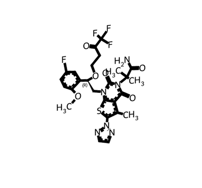 COc1ccc(F)cc1[C@H](Cn1c(=O)n(C(C)(C)C(N)=O)c(=O)c2c(C)c(-n3nccn3)sc21)OCCC(=O)C(F)(F)F